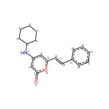 O=c1cc(NC2CCCCC2)cc(/C=C/c2ccccc2)o1